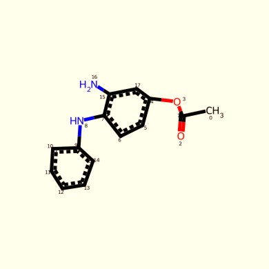 CC(=O)Oc1ccc(Nc2ccccc2)c(N)c1